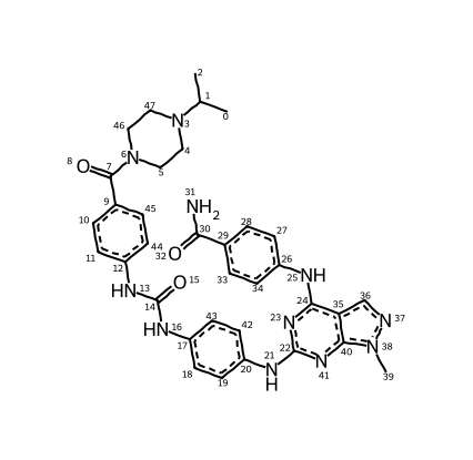 CC(C)N1CCN(C(=O)c2ccc(NC(=O)Nc3ccc(Nc4nc(Nc5ccc(C(N)=O)cc5)c5cnn(C)c5n4)cc3)cc2)CC1